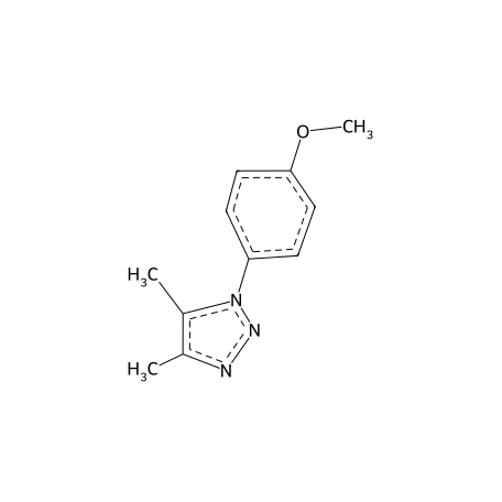 COc1ccc(-n2nnc(C)c2C)cc1